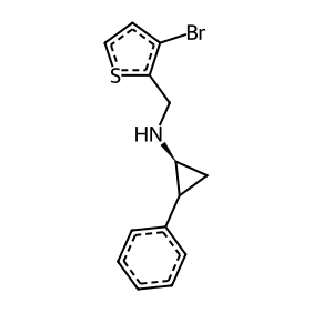 Brc1ccsc1CN[C@H]1CC1c1ccccc1